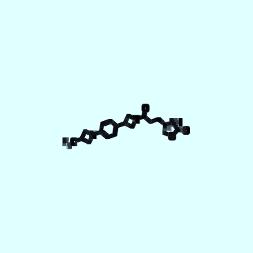 O=C1N[C@H](CCC(=O)N2CC(c3ccc(N4CC(C(F)(F)F)C4)cc3)C2)CO1